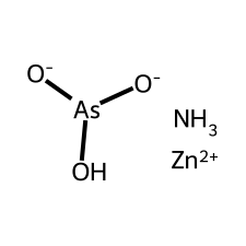 N.[O-][As]([O-])O.[Zn+2]